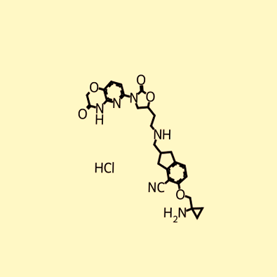 Cl.N#Cc1c(OCC2(N)CC2)ccc2c1CC(CNCCC1CN(c3ccc4c(n3)NC(=O)CO4)C(=O)O1)C2